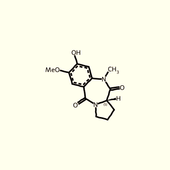 COc1cc2c(cc1O)N(C)C(=O)[C@@H]1CCCN1C2=O